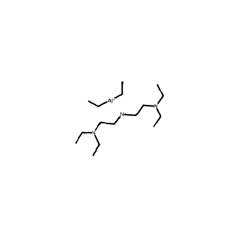 CCN(CC)CC[N-]CCN(CC)CC.C[CH2][Al+][CH2]C